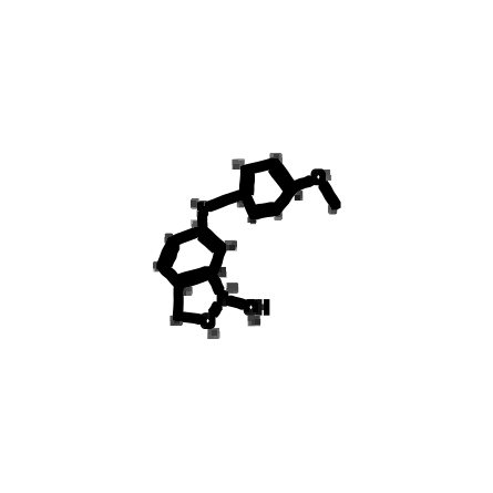 COc1ccc(Sc2ccc3c(c2)B(O)OC3)cc1